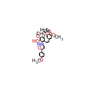 COc1ccc(C(=O)/C=C\Nc2c(/C=C\c3cc(OC)c(OC)c(OC)c3)ccc(OC)c2O)cc1